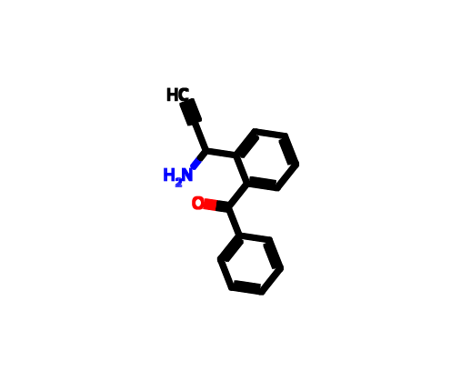 C#CC(N)c1ccccc1C(=O)c1ccccc1